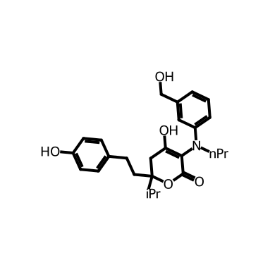 CCCN(C1=C(O)CC(CCc2ccc(O)cc2)(C(C)C)OC1=O)c1cccc(CO)c1